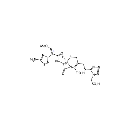 CO/N=C(/C(=O)NC1C(=O)N2C(C(=O)O)=C(CSc3nnnn3CS(=O)(=O)O)CS[C@H]12)c1nsc(N)n1